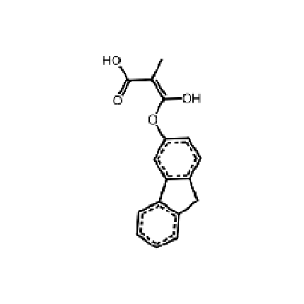 CC(C(=O)O)=C(O)Oc1ccc2c(c1)-c1ccccc1C2